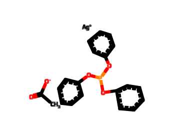 CC(=O)[O-].[Ag+].c1ccc(OP(Oc2ccccc2)Oc2ccccc2)cc1